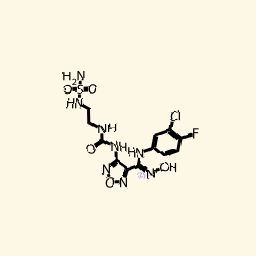 NS(=O)(=O)NCCNC(=O)Nc1nonc1/C(=N/O)Nc1ccc(F)c(Cl)c1